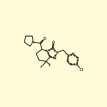 O=C(C1CCC(F)(F)c2nn(Cc3ccc(Cl)cn3)c(=O)n21)N1CCCC1